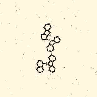 c1ccc2c(-n3c4ccccc4c4ccc(-c5ccc6c(c5)c5ccccc5n6-c5cccc6c5sc5ccccc56)cc43)cccc2c1